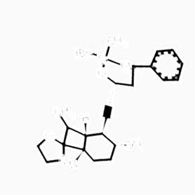 CC1[C@@H]2[C@@H](C#C[C@@H](CCc3ccccc3)O[Si](C)(C)C(C)(C)C)[C@H](O)CC[C@@H]2C12OCCO2